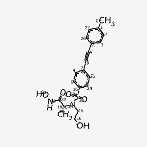 Cc1ccc(C#Cc2ccc(S(=O)(=O)N(CCO)[C@H](C)C(=O)NO)cc2)cc1